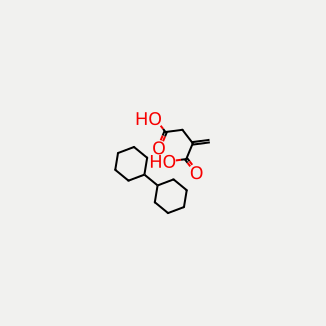 C1CCC(C2CCCCC2)CC1.C=C(CC(=O)O)C(=O)O